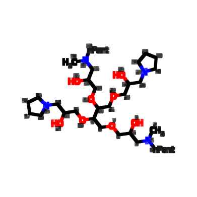 CCCCCN(C)CC(O)COCC(OCC(O)CN1CCCC1)C(COCC(O)CN1CCCC1)OCC(O)CN(C)CCCCC